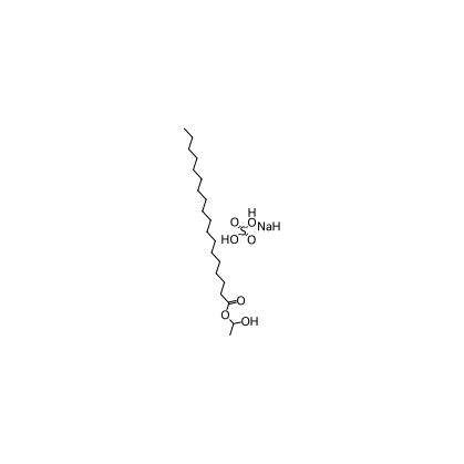 CCCCCCCCCCCCCCCCCC(=O)OC(C)O.O=S(=O)(O)O.[NaH]